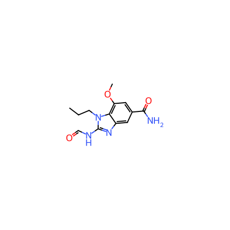 CCCn1c(NC=O)nc2cc(C(N)=O)cc(OC)c21